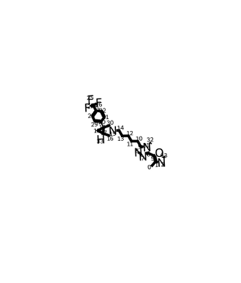 Cc1ncoc1-c1nnc(CCCCCN2C[C@@H]3C[C@]3(c3ccc(C(F)(F)F)cc3)C2)n1C